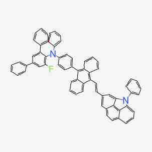 Fc1cc(-c2ccccc2)cc(-c2ccccc2)c1N(c1ccccc1)c1ccc(-c2c3ccccc3c(/C=C/c3cc4ccc5cccc6c5c4c(c3)n6-c3ccccc3)c3ccccc23)cc1